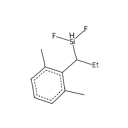 CCC(c1c(C)cccc1C)[SiH](F)F